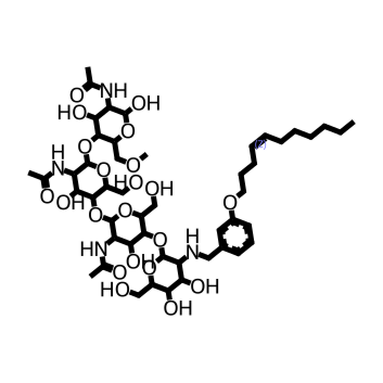 CCCCCC/C=C\CCCOc1cccc(CNC2C(OC3C(CO)OC(OC4C(CO)OC(OC5C(COC)OC(O)C(NC(C)=O)C5O)C(NC(C)=O)C4O)C(NC(C)=O)C3O)OC(CO)C(O)C2O)c1